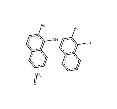 C=O.CC(=O)c1ccc2ccccc2c1O.CC(=O)c1ccc2ccccc2c1O